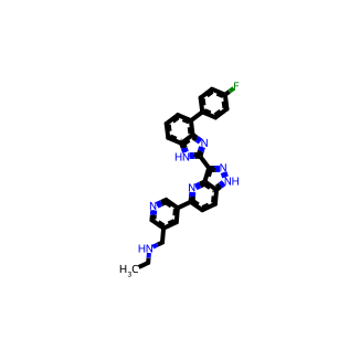 CCNCc1cncc(-c2ccc3[nH]nc(-c4nc5c(-c6ccc(F)cc6)cccc5[nH]4)c3n2)c1